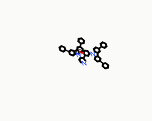 N#Cc1ccc(-n2c3ccc(-c4ccccc4)cc3c3cc(-c4ccccc4)ccc32)cc1-c1cnccc1-n1c2ccc(-c3ccccc3)cc2c2cc(-c3ccccc3)ccc21